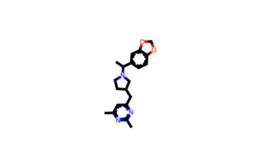 Cc1cc(CC2CCN(C(C)c3ccc4c(c3)OCO4)C2)nc(C)n1